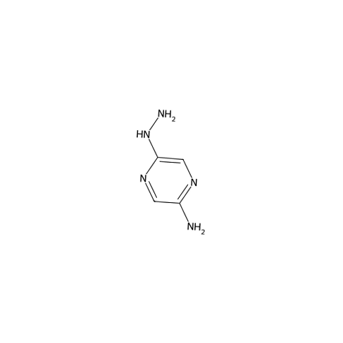 NNc1cnc(N)cn1